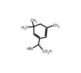 CCCCC(C(=O)O)C1=CC(C)(C)CC(C)=C1